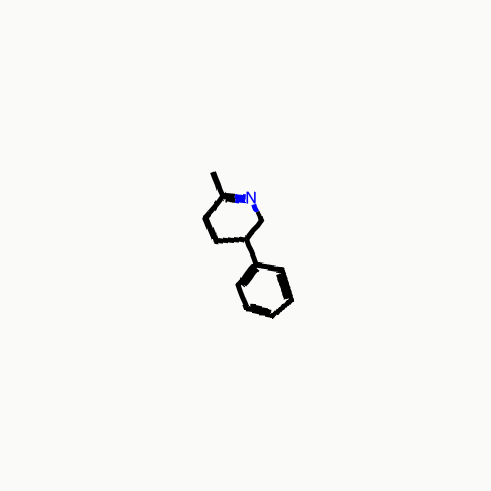 CC1=NCC(c2ccccc2)CC1